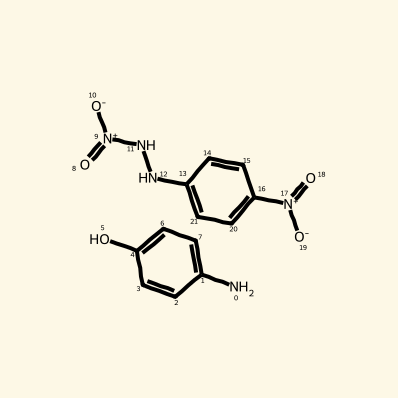 Nc1ccc(O)cc1.O=[N+]([O-])NNc1ccc([N+](=O)[O-])cc1